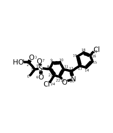 CC(C(=O)O)S(=O)(=O)c1ccc2c(-c3ccc(Cl)cc3)noc2c1Cl